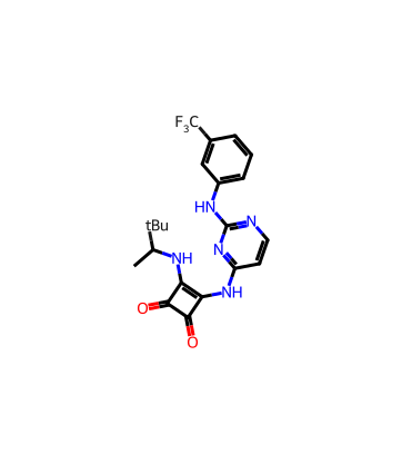 CC(Nc1c(Nc2ccnc(Nc3cccc(C(F)(F)F)c3)n2)c(=O)c1=O)C(C)(C)C